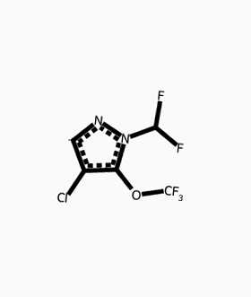 FC(F)n1n[c]c(Cl)c1OC(F)(F)F